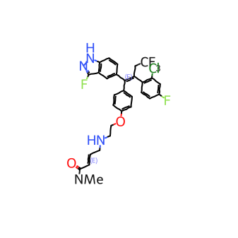 CNC(=O)/C=C/CNCCOc1ccc(/C(=C(/CC(F)(F)F)c2ccc(F)cc2Cl)c2ccc3[nH]nc(F)c3c2)cc1